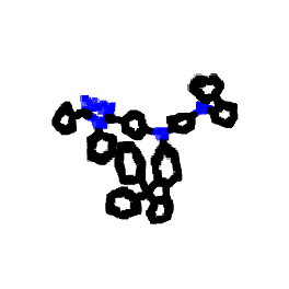 c1ccc(-c2nnc(-c3ccc(N(c4ccc(-n5c6ccccc6c6ccccc65)cc4)c4ccc5c(c4)C(c4ccccc4)(c4ccccc4)c4ccccc4-5)cc3)n2-c2ccccc2)cc1